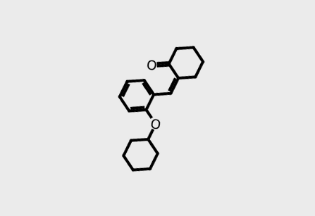 O=C1CCCCC1=Cc1ccccc1OC1CCCCC1